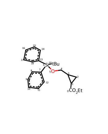 CCOC(=O)C1CC1CO[Si](c1ccccc1)(c1ccccc1)C(C)(C)C